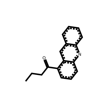 CCCC(=O)c1cccc2nc3ccccc3cc12